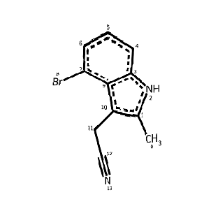 Cc1[nH]c2cccc(Br)c2c1CC#N